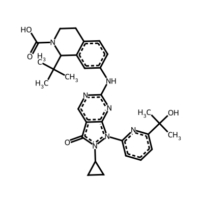 CC(C)(O)c1cccc(-n2c3nc(Nc4ccc5c(c4)C(C(C)(C)C)N(C(=O)O)CC5)ncc3c(=O)n2C2CC2)n1